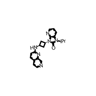 CC(C)n1c(=O)n([C@H]2C[C@H](Nc3ccc4ccncc4n3)C2)c2ncccc21